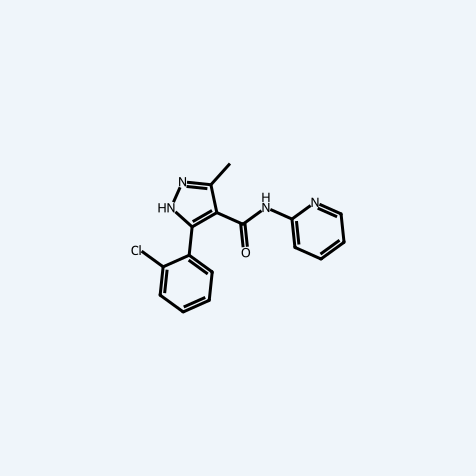 Cc1n[nH]c(-c2ccccc2Cl)c1C(=O)Nc1ccccn1